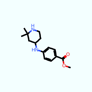 COC(=O)c1ccc(NC2CCNC(C)(C)C2)cc1